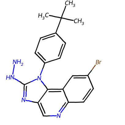 CC(C)(C)c1ccc(-n2c(NN)nc3cnc4ccc(Br)cc4c32)cc1